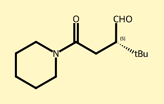 CC(C)(C)[C@@H](C=O)CC(=O)N1CCCCC1